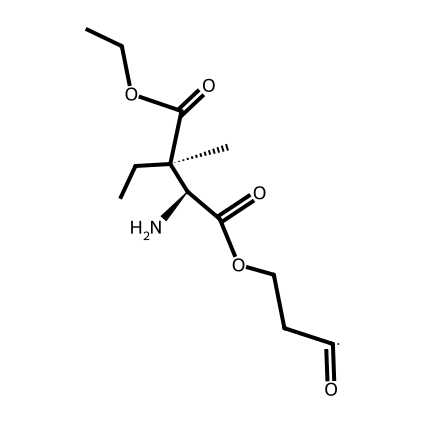 CCOC(=O)[C@](C)(CC)[C@H](N)C(=O)OCC[C]=O